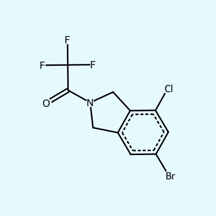 O=C(N1Cc2cc(Br)cc(Cl)c2C1)C(F)(F)F